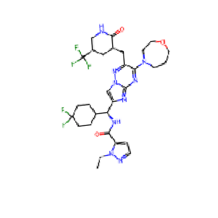 CCn1nccc1C(=O)N[C@H](c1cn2nc(C[C@H]3C[C@@H](C(F)(F)F)CNC3=O)c(N3CCCOCC3)nc2n1)C1CCC(F)(F)CC1